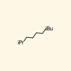 CCC(C)CCCCC(C)C